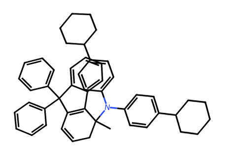 CC1(N(c2ccc(C3CCCCC3)cc2)c2ccc(C3CCCCC3)cc2)CC=CC2=C1c1ccccc1C2(c1ccccc1)c1ccccc1